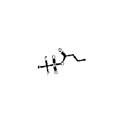 CCCC(=O)OS(=O)(=O)C(F)(F)F